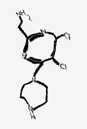 NCc1nc(Cl)c(Cl)c(N2CCNCC2)n1